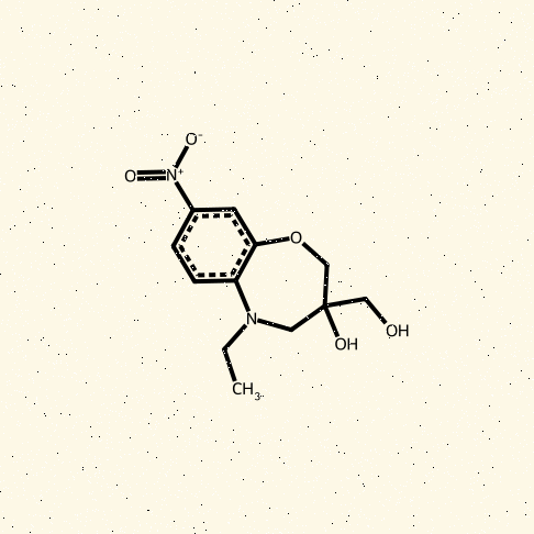 CCN1CC(O)(CO)COc2cc([N+](=O)[O-])ccc21